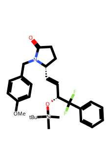 COc1ccc(CN2C(=O)CC[C@@H]2C=C[C@@H](O[Si](C)(C)C(C)(C)C)C(F)(F)c2ccccc2)cc1